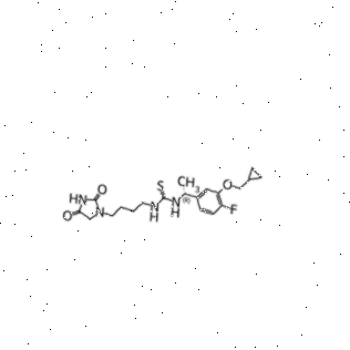 C[C@@H](NC(=S)NCCCCN1CC(=O)NC1=O)c1ccc(F)c(OCC2CC2)c1